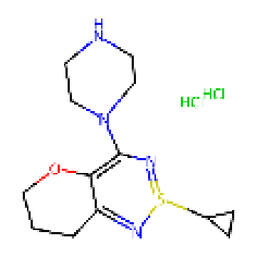 C1COC2=C(N3CCNCC3)N=S(C3CC3)N=C2C1.Cl.Cl